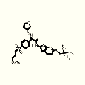 COCCCS(=O)(=O)c1ccc(/C(=N\O[C@@H]2CCOC2)C(=O)Nc2nc3ccc(OCC(C)(C)N)nc3s2)cc1